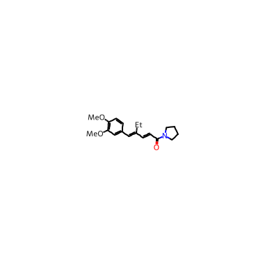 CCC(/C=C/C(=O)N1CCCC1)=C\c1ccc(OC)c(OC)c1